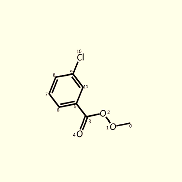 COOC(=O)c1cccc(Cl)c1